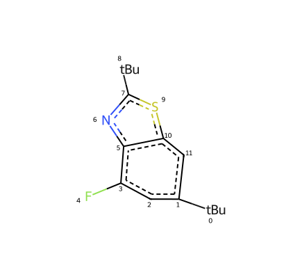 CC(C)(C)c1cc(F)c2nc(C(C)(C)C)sc2c1